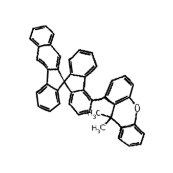 CC1(C)c2ccccc2Oc2cccc(-c3cccc4c3-c3ccccc3C43c4ccccc4-c4cc5ccccc5cc43)c21